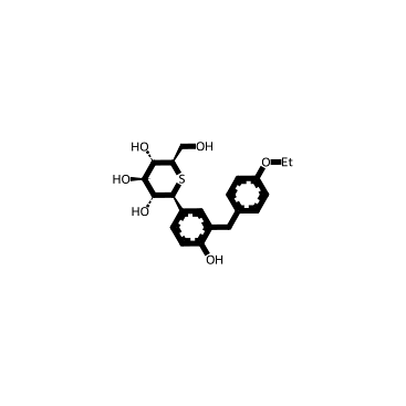 CCOc1ccc(Cc2cc([C@@H]3S[C@H](CO)[C@@H](O)[C@H](O)[C@H]3O)ccc2O)cc1